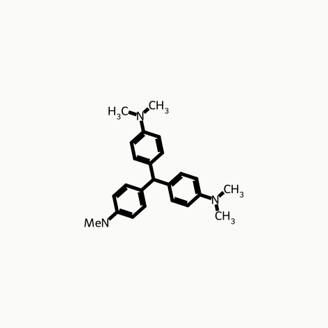 CNc1ccc(C(c2ccc(N(C)C)cc2)c2ccc(N(C)C)cc2)cc1